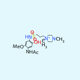 COc1cc(NS(=O)(=O)CCC[N+]2(C)CCN(C)CC2)c(O)cc1NC(C)=O